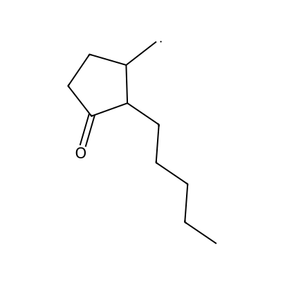 [CH2]C1CCC(=O)C1CCCCC